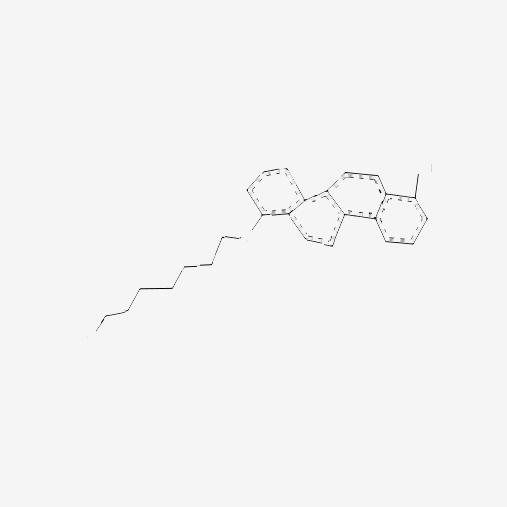 CCCCCCCCSc1cccc2c1ccc1c3cccc(C)c3ccc21